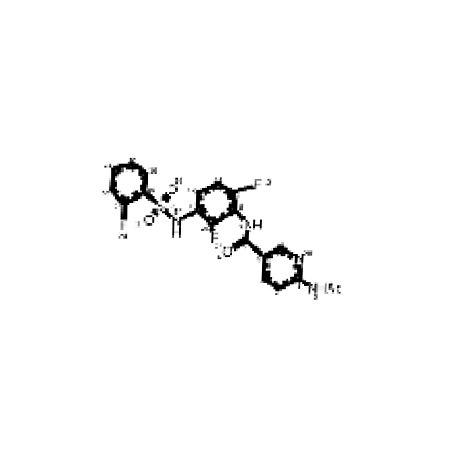 CC(=O)Nc1ccc(C(=O)Nc2c(F)ccc(NS(=O)(=O)c3ccccc3F)c2F)cn1